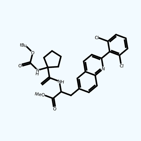 C=C(NC(Cc1ccc2nc(-c3c(Cl)cccc3Cl)ccc2c1)C(=O)OC)C1(NC(=O)OC(C)(C)C)CCCC1